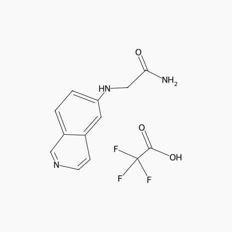 NC(=O)CNc1ccc2cnccc2c1.O=C(O)C(F)(F)F